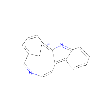 C1=C/C2=C3\N=c4ccccc4=C3C=CN=CC(=C1)C2